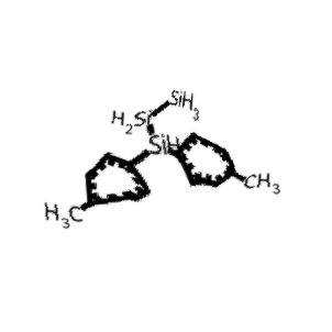 Cc1ccc([SiH]([SiH2][SiH3])c2ccc(C)cc2)cc1